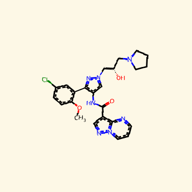 COc1ccc(Cl)cc1-c1nn(C[C@@H](O)CN2CCCC2)cc1NC(=O)c1cnn2cccnc12